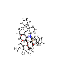 CC1(C)c2ccccc2-c2c(-c3ccccc3N(c3ccccc3-c3ccccc3-c3ccccc3)c3ccccc3-c3cccc4c3sc3ccccc34)cccc21